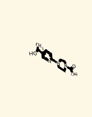 CC(O)c1ccc(N2CCN(C(=O)O)CC2)nc1